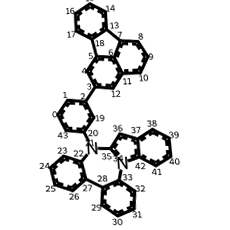 c1cc(-c2cc3c4c(cccc4c2)-c2ccccc2-3)cc(N2c3ccccc3-c3ccccc3-n3c2cc2ccccc23)c1